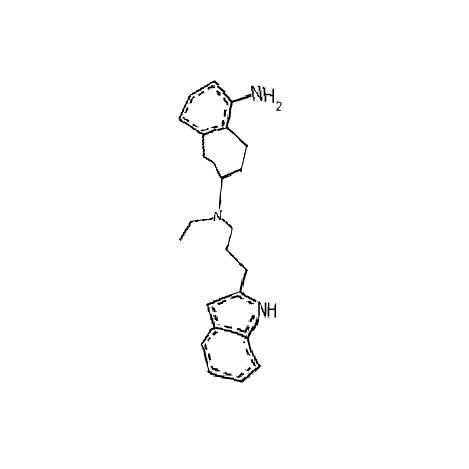 CCN(CCCc1cc2ccccc2[nH]1)C1CCc2c(N)cccc2C1